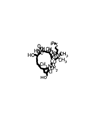 C/C1=C\C=C\C(CO)[C@@]2(O)C[C@H](OC(=O)N2)[C@@H](C)[C@@H]2O[C@@]2(C)[C@@H](OC(=O)[C@@H](C)N(C)C(=O)CCSC(C)C)CC(=O)N(C)c2cc(cc(CO)c2Cl)C1